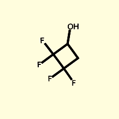 OC1CC(F)(F)C1(F)F